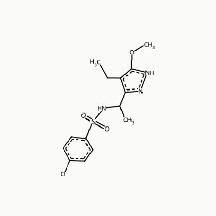 CCc1c(C(C)NS(=O)(=O)c2ccc(Cl)cc2)n[nH]c1OC